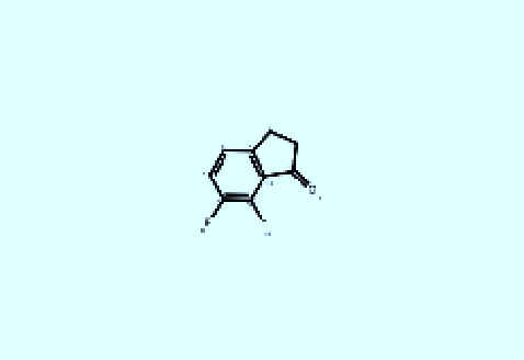 O=C1CCc2ccc(F)c(F)c21